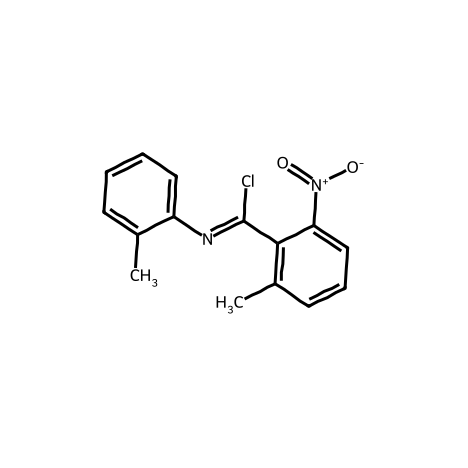 Cc1ccccc1N=C(Cl)c1c(C)cccc1[N+](=O)[O-]